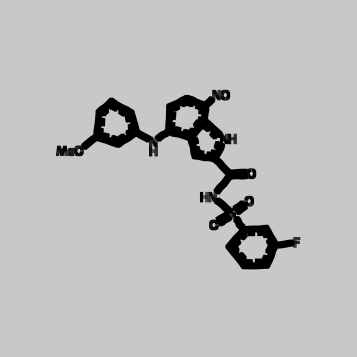 COc1cccc(Nc2ccc(N=O)c3[nH]c(C(=O)NS(=O)(=O)c4cccc(F)c4)cc23)c1